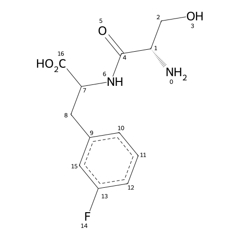 N[C@@H](CO)C(=O)NC(Cc1cccc(F)c1)C(=O)O